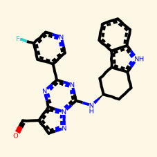 O=Cc1cnn2c(N[C@@H]3CCc4[nH]c5ccccc5c4C3)nc(-c3cncc(F)c3)nc12